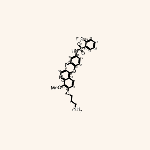 COc1c(OCCCN)ccc2c(Oc3ccc(NS(=O)(=O)c4ccccc4C(F)(F)F)cc3F)ccnc12